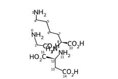 NCC(=O)O.NCCCC[C@H](N)C(=O)O.N[C@@H](CC(=O)O)C(=O)O